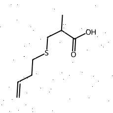 C=CCCSCC(C)C(=O)O